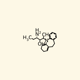 CC[C@H](N)C(O)C(C)N1C2=CCCC=C2CCc2ccccc21